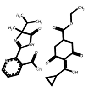 CC(C)C1(C)N=C(c2ncccc2C(=O)O)NC1=O.CCOC(=O)C1CC(=O)C(=C(O)C2CC2)C(=O)C1